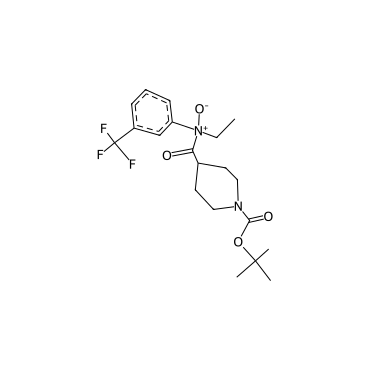 CC[N+]([O-])(C(=O)C1CCN(C(=O)OC(C)(C)C)CC1)c1cccc(C(F)(F)F)c1